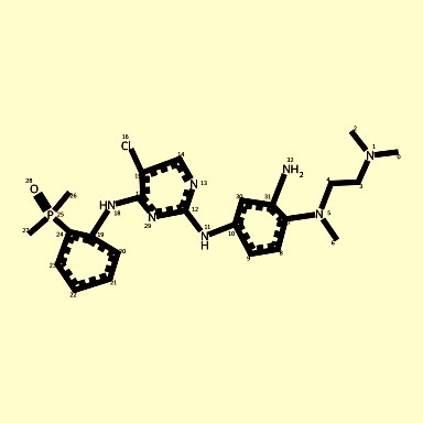 CN(C)CCN(C)c1ccc(Nc2ncc(Cl)c(Nc3ccccc3P(C)(C)=O)n2)cc1N